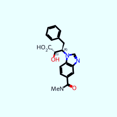 CNC(=O)c1ccc2c(c1)ncn2[C@H](Cc1ccccc1)[C@H](O)C(=O)O